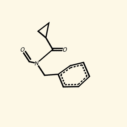 O=CN(Cc1ccccc1)C(=O)C1CC1